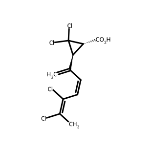 C=C(/C=C\C(Cl)=C(/C)Cl)[C@@H]1[C@@H](C(=O)O)C1(Cl)Cl